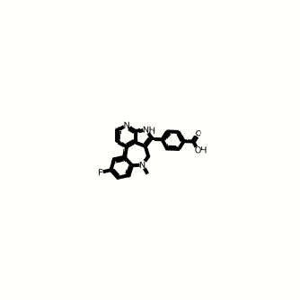 CN1Cc2c(-c3ccc(C(=O)O)cc3)[nH]c3nccc(c23)-c2cc(F)ccc21